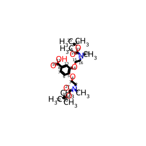 CN(CCOc1ccc(C(=O)O)cc1OCCN(C)C(=O)OC(C)(C)C)C(=O)OC(C)(C)C